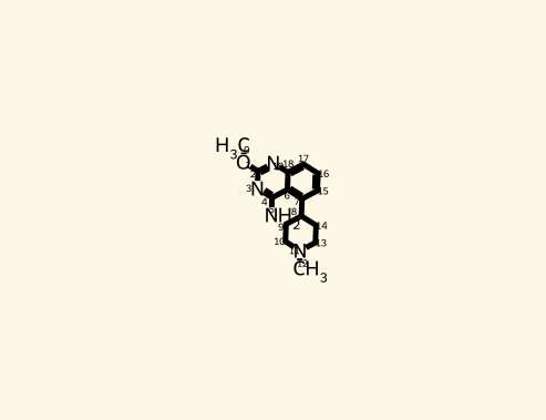 COc1nc(N)c2c(C3CCN(C)CC3)cccc2n1